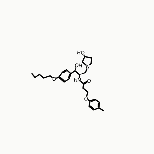 CCCCCOc1ccc([C@@H](O)[C@@H](CN2CC[C@H](O)C2)NC(=O)CCOc2ccc(C)cc2)cc1